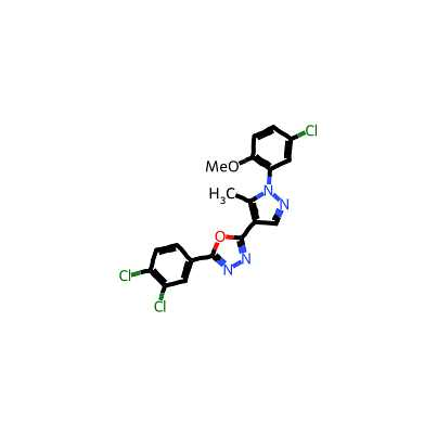 COc1ccc(Cl)cc1-n1ncc(-c2nnc(-c3ccc(Cl)c(Cl)c3)o2)c1C